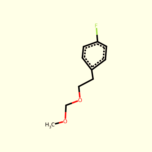 COCOCCc1ccc(F)cc1